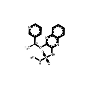 CCCNS(=O)(=O)Nc1nc2ccccc2nc1O[C@H](c1cccnc1)C(F)(F)F